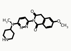 COc1ccc2c(c1)CC(=O)N(c1ccc(N(C)C3CCNCC3)nn1)C2=O